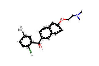 CN(C)CCOc1ccc2cc(C(=O)c3cc(C#N)ccc3F)ccc2c1